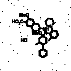 COc1cc(CC(=O)NN(c2c(C)cccc2N2CCCCC2)C2(OC)C=CC(c3ccccc3)=C(C)C2)c(Br)cc1C(=O)O.Cl